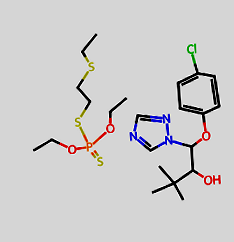 CC(C)(C)C(O)C(Oc1ccc(Cl)cc1)n1cncn1.CCOP(=S)(OCC)SCCSCC